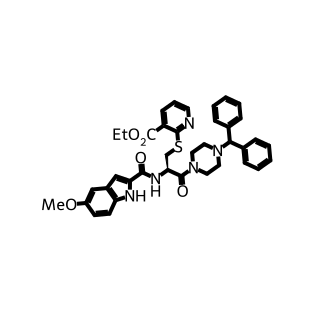 CCOC(=O)c1cccnc1SC[C@H](NC(=O)c1cc2cc(OC)ccc2[nH]1)C(=O)N1CCN(C(c2ccccc2)c2ccccc2)CC1